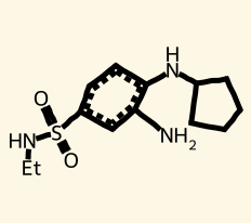 CCNS(=O)(=O)c1ccc(NC2CCCC2)c(N)c1